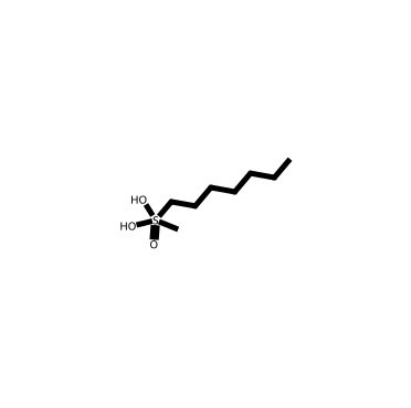 CCCCCCCS(C)(=O)(O)O